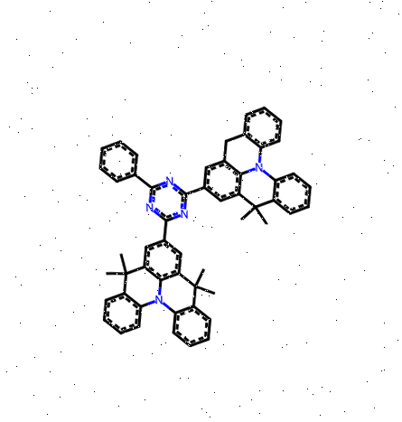 CC1(C)c2ccccc2N2c3ccccc3Cc3cc(-c4nc(-c5ccccc5)nc(-c5cc6c7c(c5)C(C)(C)c5ccccc5N7c5ccccc5C6(C)C)n4)cc1c32